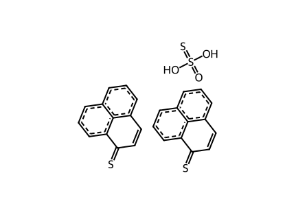 O=S(O)(O)=S.S=C1C=Cc2cccc3cccc1c23.S=C1C=Cc2cccc3cccc1c23